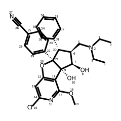 CCN(CC)C[C@H]1[C@@H](O)[C@@]2(O)c3c(cc(Cl)nc3OC)O[C@@]2(c2ccc(C#N)cc2)[C@@H]1c1ccccc1